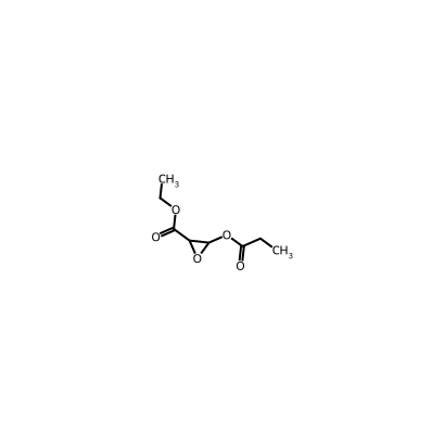 CCOC(=O)C1OC1OC(=O)CC